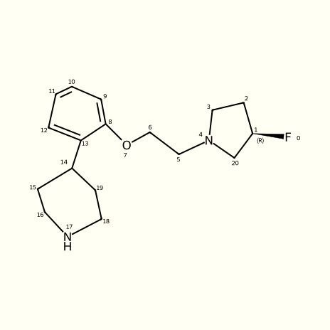 F[C@@H]1CCN(CCOc2ccccc2C2CCNCC2)C1